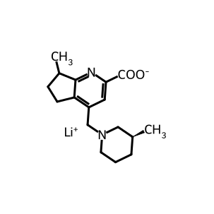 CC1CCc2c(CN3CCC[C@H](C)C3)cc(C(=O)[O-])nc21.[Li+]